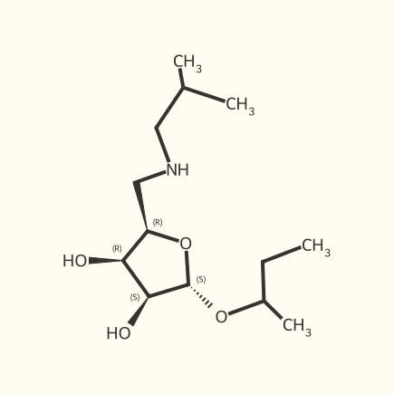 CCC(C)O[C@H]1O[C@H](CNCC(C)C)[C@H](O)[C@@H]1O